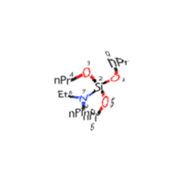 CCCO[Si](OCCC)(OCCC)N(CC)CCC